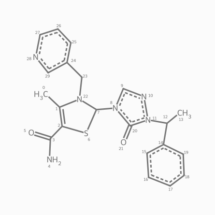 CC1=C(C(N)=O)SC(n2cnn(C(C)c3ccccc3)c2=O)N1Cc1cccnc1